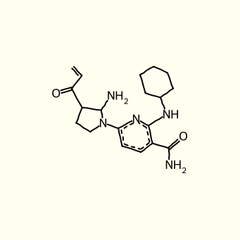 C=CC(=O)C1CCN(c2ccc(C(N)=O)c(NC3CCCCC3)n2)C1N